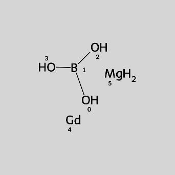 OB(O)O.[Gd].[MgH2]